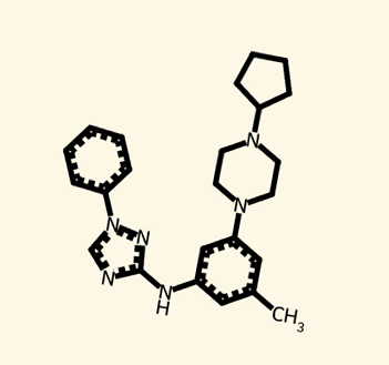 Cc1cc(Nc2ncn(-c3ccccc3)n2)cc(N2CCN(C3CCCC3)CC2)c1